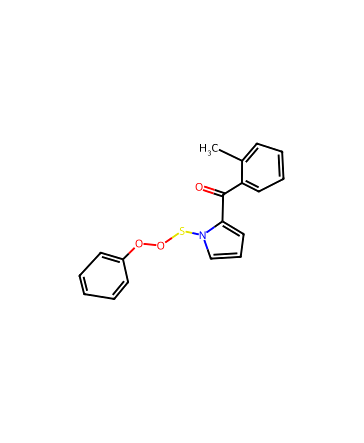 Cc1ccccc1C(=O)c1cccn1SOOc1ccccc1